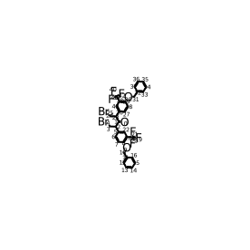 O=C(C(CBr)c1ccc(OCc2ccccc2)c(C(F)(F)F)c1)C(CBr)c1ccc(OCc2ccccc2)c(C(F)(F)F)c1